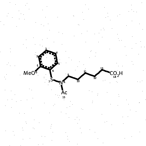 COc1ccccc1SN(CCCCCC(=O)O)C(C)=O